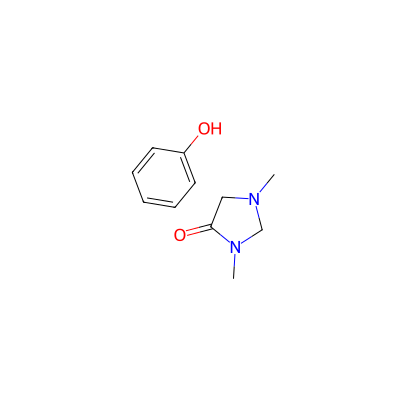 CN1CC(=O)N(C)C1.Oc1ccccc1